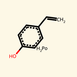 C=Cc1ccc(O)cc1.[PoH2]